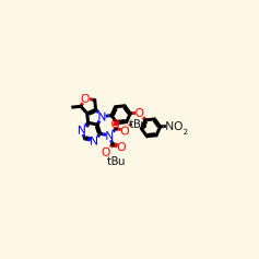 CC1OCc2c1c1ncnc(N(C(=O)OC(C)(C)C)C(=O)OC(C)(C)C)c1n2-c1ccc(Oc2cccc([N+](=O)[O-])c2)cc1